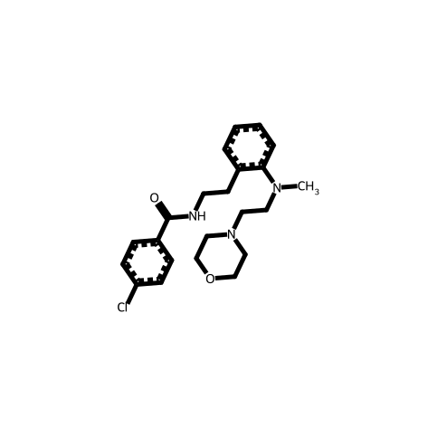 CN(CCN1CCOCC1)c1ccccc1CCNC(=O)c1ccc(Cl)cc1